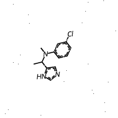 CC(c1cnc[nH]1)N(C)c1cccc(Cl)c1